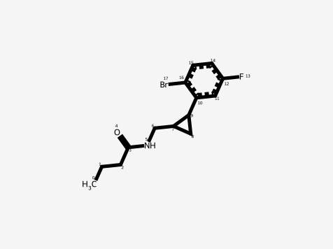 CCCC(=O)NCC1CC1c1cc(F)ccc1Br